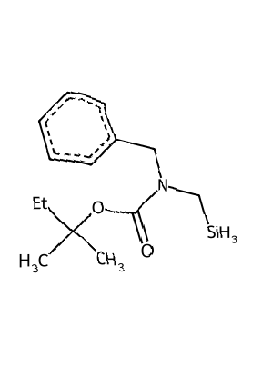 CCC(C)(C)OC(=O)N(C[SiH3])Cc1ccccc1